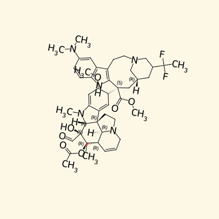 CC[C@]12C=CCN3CC[C@@]4(C5=CC([C@@]6(C(=O)OC)C[C@H]7CC(C(C)(F)F)CN(CCc8c6[nH]c6ccc(N(C)C)cc86)C7)C(OC)C=C5N(C)[C@H]4[C@@](O)(C=O)[C@@H]1OC(C)=O)[C@@H]32